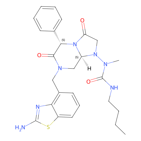 CCCCNC(=O)N(C)N1CC(=O)N2[C@@H](c3ccccc3)C(=O)N(Cc3cccc4sc(N)nc34)C[C@@H]21